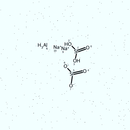 O=[Si](O)O.O=[Si]([O-])[O-].[AlH3].[Na+].[Na+]